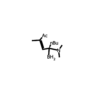 B[C@@](/C=C(/C)C(C)=O)(CCCC)N(C)C